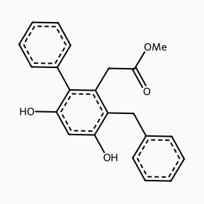 COC(=O)Cc1c(Cc2ccccc2)c(O)cc(O)c1-c1ccccc1